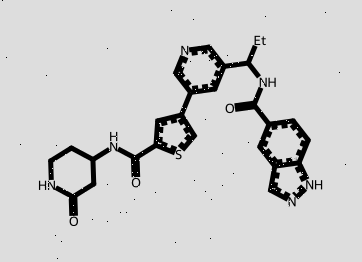 CCC(NC(=O)c1ccc2[nH]ncc2c1)c1cncc(-c2csc(C(=O)NC3CCNC(=O)C3)c2)c1